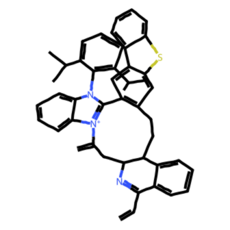 C=CC1=NC2CC(=C)[n+]3c(n(-c4c(C(C)C)cccc4C(C)C)c4ccccc43)-c3cc4c(cc3CCC2c2ccccc21)sc1ccccc14